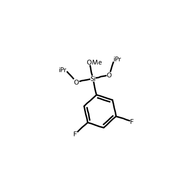 CO[Si](OC(C)C)(OC(C)C)c1cc(F)cc(F)c1